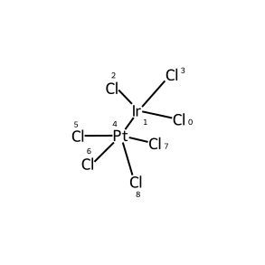 [Cl][Ir]([Cl])([Cl])[Pt]([Cl])([Cl])([Cl])[Cl]